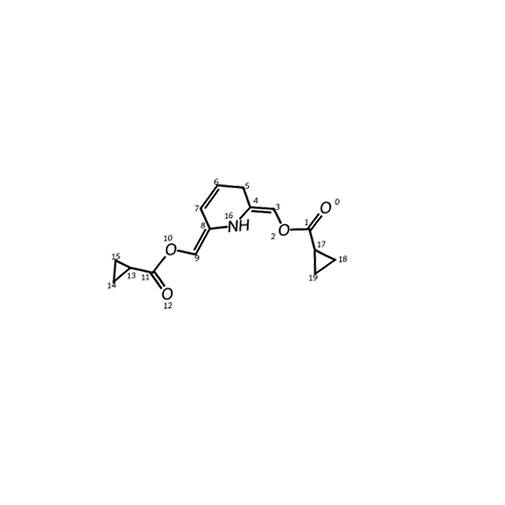 O=C(O/C=C1/CC=C/C(=C\OC(=O)C2CC2)N1)C1CC1